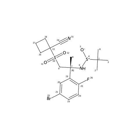 CC(C)(C)[S+]([O-])N[C@@](C)(CS(=O)(=O)C1(C#N)CCC1)c1cc(Br)ccc1F